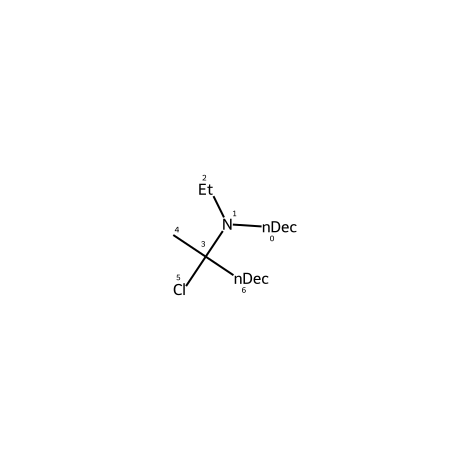 CCCCCCCCCCN(CC)C(C)(Cl)CCCCCCCCCC